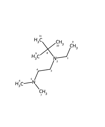 CCN(CCN(C)C)C(C)(C)C